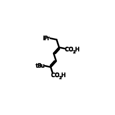 CC(C)CC(=CC=C(C(=O)O)C(C)(C)C)C(=O)O